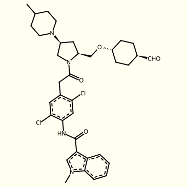 CC1CCN([C@H]2C[C@@H](CO[C@H]3CC[C@H](C=O)CC3)N(C(=O)Cc3cc(Cl)c(NC(=O)c4cn(C)c5ccccc45)cc3Cl)C2)CC1